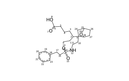 CCC(CCCC(=O)O)C1(CCNS(=O)(=O)CCc2ccccc2)CC2CCC1O2